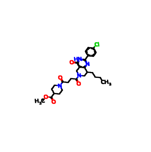 CCCCC1CN(C(=O)CCC(=O)N2CCC(C(=O)OC)CC2)Cc2c1nc(-c1ccc(Cl)cc1)[nH]c2=O